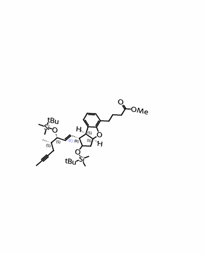 CC#CC[C@H](C)[C@@H](/C=C/[C@H]1C(O[Si](C)(C)C(C)(C)C)C[C@@H]2Oc3c(CCCC(=O)OC)cccc3[C@@H]21)O[Si](C)(C)C(C)(C)C